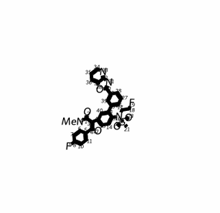 CNC(=O)c1c(-c2ccc(F)cc2)oc2cc(N(CCF)S(C)(=O)=O)c(-c3cccc(-c4nc5ncccc5o4)c3)cc12